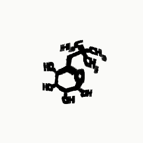 CC(C)(C)C[C@H]1O[C@H](O)[C@H](O)[C@@H](O)[C@@H]1O